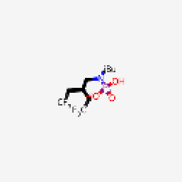 CCC(C)N(CC(CC(F)(F)F)CC(F)(F)F)P(=O)(O)O